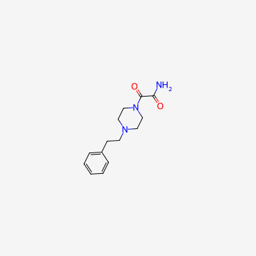 NC(=O)C(=O)N1CCN(CCc2ccccc2)CC1